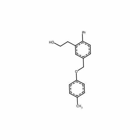 Cc1ccc(OCc2ccc(C(C)C)c(CCO)c2)cc1